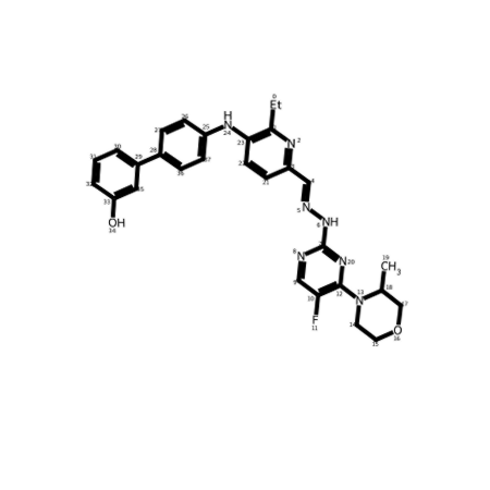 CCc1nc(/C=N/Nc2ncc(F)c(N3CCOCC3C)n2)ccc1Nc1ccc(-c2cccc(O)c2)cc1